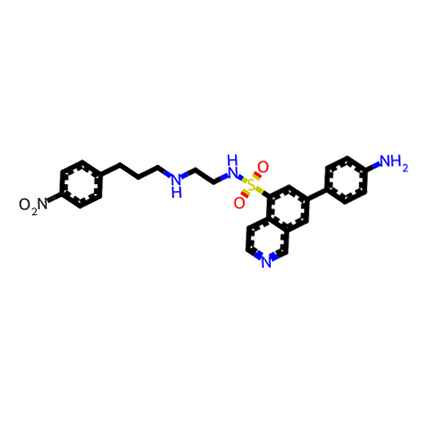 Nc1ccc(-c2cc(S(=O)(=O)NCCNCCCc3ccc([N+](=O)[O-])cc3)c3ccncc3c2)cc1